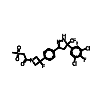 CS(=O)(=O)CC(=O)N1CC(F)(c2ccc(C3=NNC(c4cc(Cl)c(F)c(Cl)c4)(C(F)(F)F)C3)cc2)C1